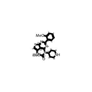 COc1ccccc1-c1nc(N(C(=O)OCC(C)C)C2CCNCC2)c2c(C)csc2n1